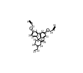 C#CCOc1ccc(C2(c3ccc(OCC#C)cc3)CCC(CC)CC2=C)cc1